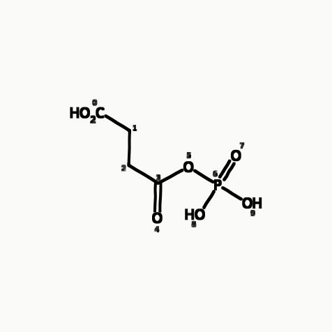 O=C(O)CCC(=O)OP(=O)(O)O